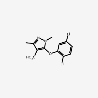 Cc1nn(C)c(Oc2cc(Cl)ccc2Cl)c1C(=O)O